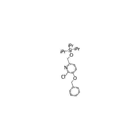 CC(C)[Si](OCc1ccc(OCc2ccccc2)c(Cl)n1)(C(C)C)C(C)C